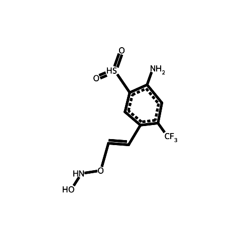 Nc1cc(C(F)(F)F)c(/C=C/ONO)cc1[SH](=O)=O